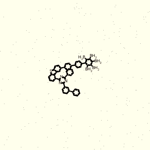 Bc1c(B)c(B)c(-c2ccc(-c3ccc(-c4ccc5sc6cccc(-c7nc(-c8ccccc8)nc(-c8cccc(-c9ccccc9)c8)n7)c6c5c4)cc3)cc2)c(B)c1B